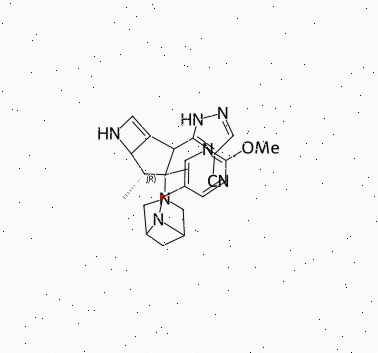 COc1ccc(CN2C3CC2CN(C2(C)C(c4[nH]ncc4C#N)C4=CNC4[C@H]2C)C3)cn1